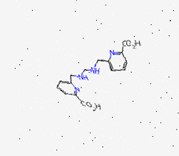 O=C(O)c1cccc(CNCNCc2cccc(C(=O)O)n2)n1